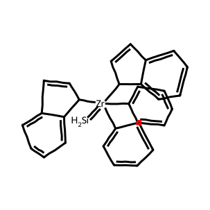 [SiH2]=[Zr]([c]1ccccc1)([c]1ccccc1)([CH]1C=Cc2ccccc21)[CH]1C=Cc2ccccc21